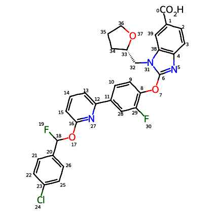 O=C(O)c1ccc2nc(Oc3ccc(-c4cccc(OC(F)c5ccc(Cl)cc5)n4)cc3F)n(C[C@@H]3CCCO3)c2c1